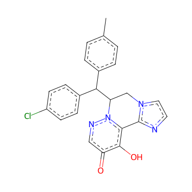 Cc1ccc(C(c2ccc(Cl)cc2)C2Cn3ccnc3-c3c(O)c(=O)cnn32)cc1